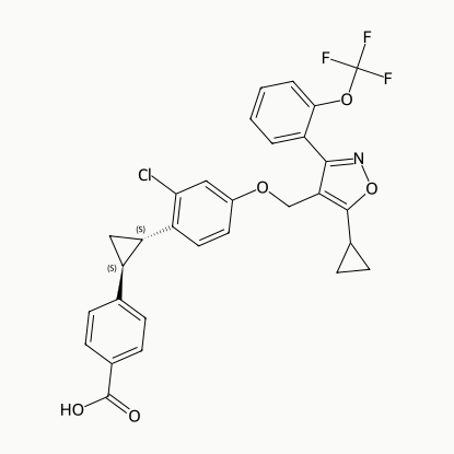 O=C(O)c1ccc([C@H]2C[C@@H]2c2ccc(OCc3c(-c4ccccc4OC(F)(F)F)noc3C3CC3)cc2Cl)cc1